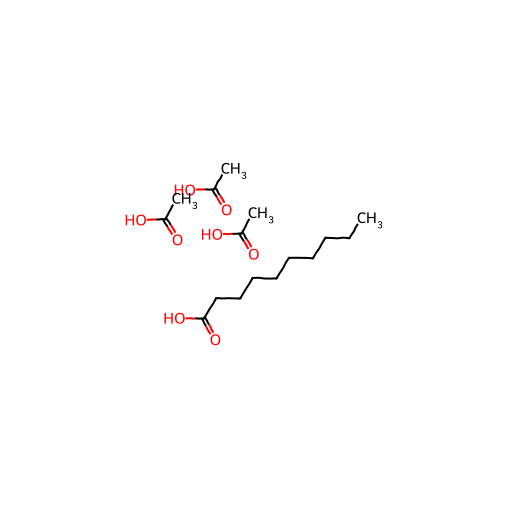 CC(=O)O.CC(=O)O.CC(=O)O.CCCCCCCCCC(=O)O